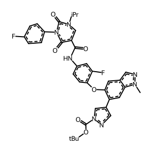 CC(C)n1cc(C(=O)Nc2ccc(Oc3cc4cnn(C)c4cc3-c3cnn(C(=O)OC(C)(C)C)c3)c(F)c2)c(=O)n(-c2ccc(F)cc2)c1=O